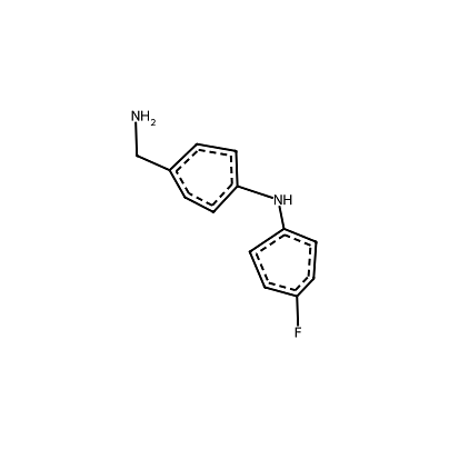 NCc1ccc(Nc2ccc(F)cc2)cc1